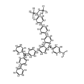 CC(C)c1ccc(-n2c3ccc(-c4ccc(-c5ccc(C(CC(C)(C)C)C(C)(C)C)cc5)cc4)cc3c3cc(-c4ccc(N(c5ccccc5)c5ccc(-c6ccccc6)cc5)cc4)ccc32)cc1